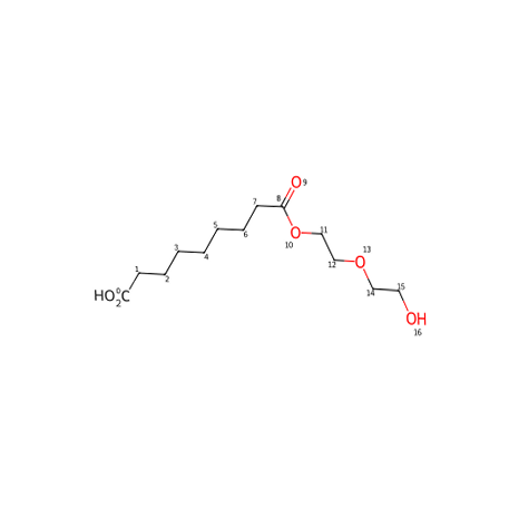 O=C(O)CCCCCCCC(=O)OCCOCCO